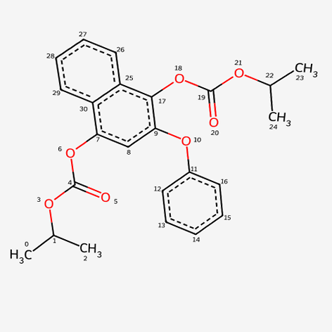 CC(C)OC(=O)Oc1cc(Oc2ccccc2)c(OC(=O)OC(C)C)c2ccccc12